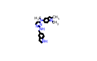 Cc1cc2cc(N(C)c3ccnc(NCc4ccc5[nH]ccc5c4)n3)ccc2n1C